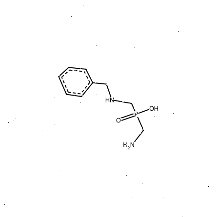 NCP(=O)(O)CNCc1ccccc1